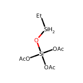 CC[SiH2]O[Si](OC(C)=O)(OC(C)=O)OC(C)=O